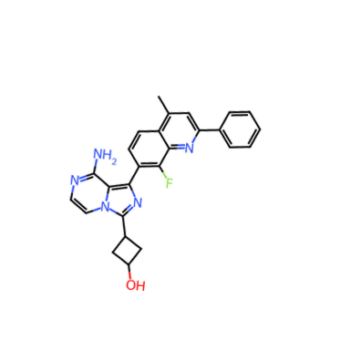 Cc1cc(-c2ccccc2)nc2c(F)c(-c3nc(C4CC(O)C4)n4ccnc(N)c34)ccc12